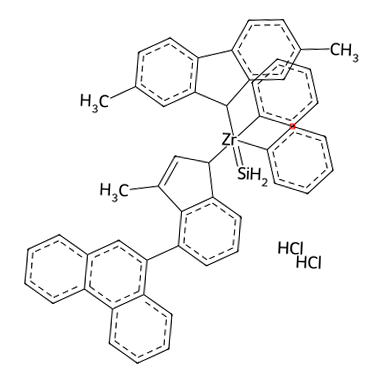 CC1=C[CH]([Zr](=[SiH2])([c]2ccccc2)([c]2ccccc2)[CH]2c3cc(C)ccc3-c3ccc(C)cc32)c2cccc(-c3cc4ccccc4c4ccccc34)c21.Cl.Cl